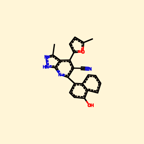 Cc1ccc(-c2c(C#N)c(-c3ccc(O)c4ccccc34)nc3[nH]nc(C)c23)o1